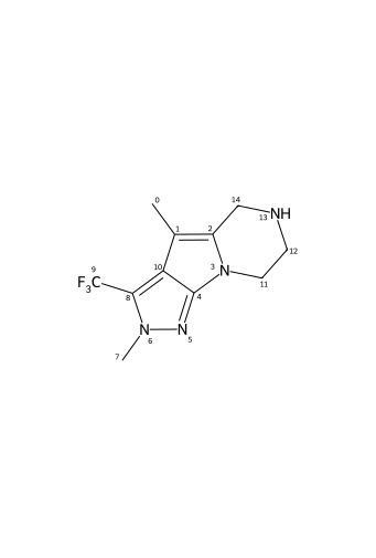 Cc1c2n(c3nn(C)c(C(F)(F)F)c13)CCNC2